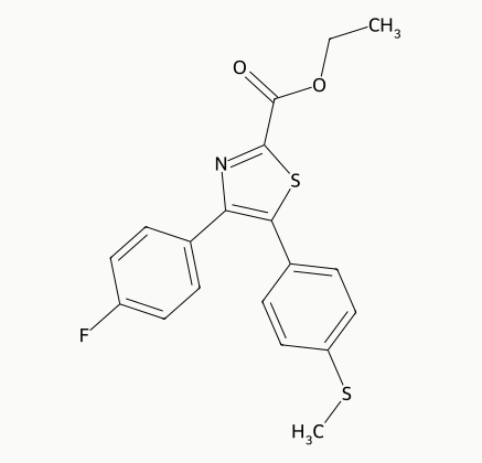 CCOC(=O)c1nc(-c2ccc(F)cc2)c(-c2ccc(SC)cc2)s1